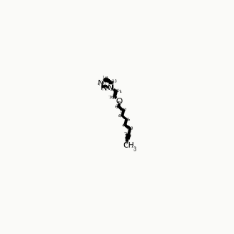 CC#CCCCCCCOCCn1ccnn1